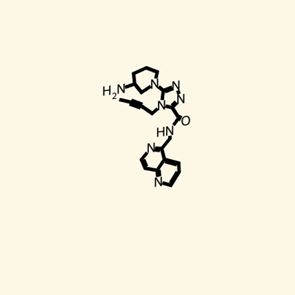 CC#CCn1c(C(=O)NCc2nccc3ncccc23)nnc1N1CCCC(N)C1